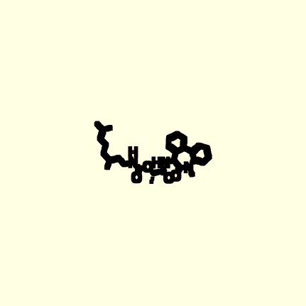 CC(C)=CCC/C(C)=C/CNC(=O)O[C@@H](C)C(=O)NC1C(=O)N(C)c2ccccc2-c2ccccc21